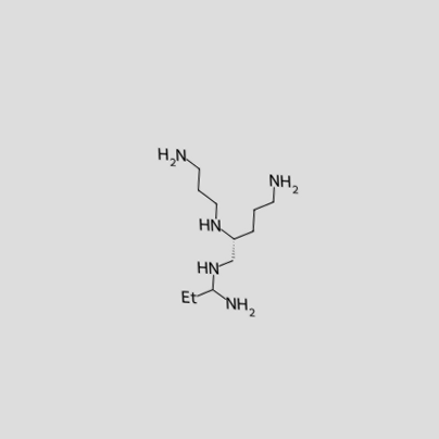 CCC(N)NC[C@@H](CCCN)NCCCN